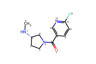 CN[C@H]1CCN(C(=O)c2ccc(F)nc2)C1